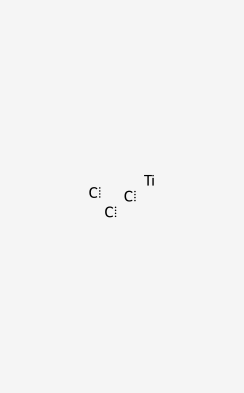 [C].[C].[C].[Ti]